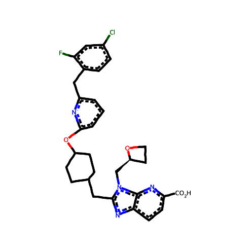 O=C(O)c1ccc2nc(CC3CCC(Oc4cccc(Cc5ccc(Cl)cc5F)n4)CC3)n(C[C@@H]3CCO3)c2n1